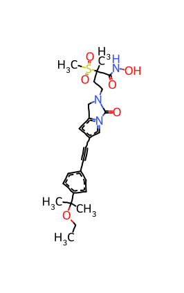 CCOC(C)(C)c1ccc(C#Cc2cc3n(c2)C(=O)N(CCC(C)(C(=O)NO)S(C)(=O)=O)C3)cc1